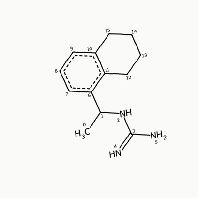 CC(NC(=N)N)c1cccc2c1CCCC2